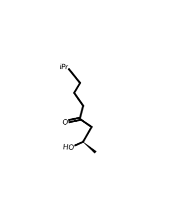 CC(C)CCCC(=O)C[C@@H](C)O